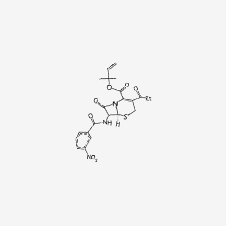 C=CC(C)(C)OC(=O)C1=C(C(=O)CC)CS[C@H]2C(NC(=O)c3cccc([N+](=O)[O-])c3)C(=O)N12